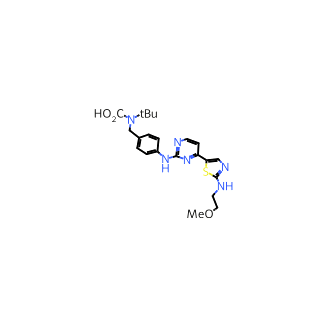 COCCNc1ncc(-c2ccnc(Nc3ccc(CN(C(=O)O)C(C)(C)C)cc3)n2)s1